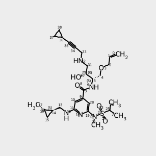 C=CCOC[C@H](NC(=O)c1cc(NC[C@H]2C[C@@H]2C)nc(N(C)S(=O)(=O)C(C)C)c1)[C@H](O)CNCC#CC1CC1